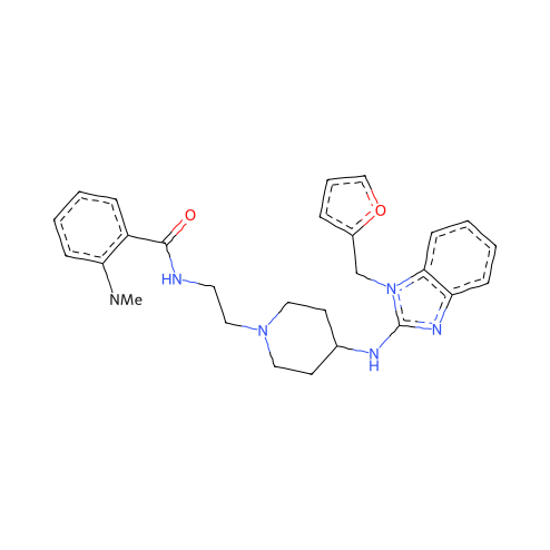 CNc1ccccc1C(=O)NCCN1CCC(Nc2nc3ccccc3n2Cc2ccco2)CC1